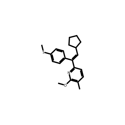 COc1nc(C(=CC2CCCC2)c2ccc(SC)cc2)ccc1C